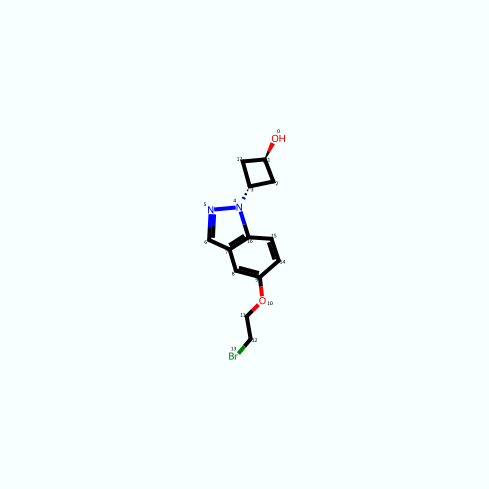 O[C@H]1C[C@H](n2ncc3cc(OCCBr)ccc32)C1